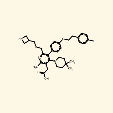 Cc1nc(COCC2CNC2)c(-c2ccc(OCCc3ccc(F)cc3)cc2)c(N2CCC(C)(C)CC2)c1CC(=O)O